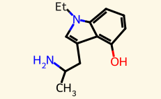 CCn1cc(CC(C)N)c2c(O)cccc21